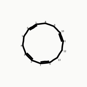 [C]1=CC=CCCC=CCCC=CCC1